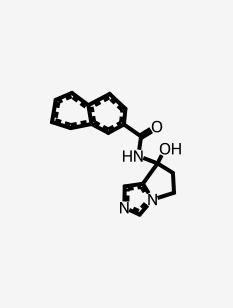 O=C(NC1(O)CCn2cncc21)c1ccc2ccccc2c1